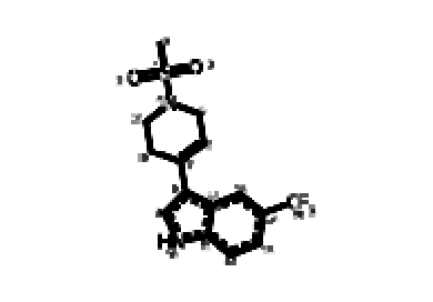 CS(=O)(=O)N1CC=C(c2c[nH]c3ccc(C(F)(F)F)cc23)CC1